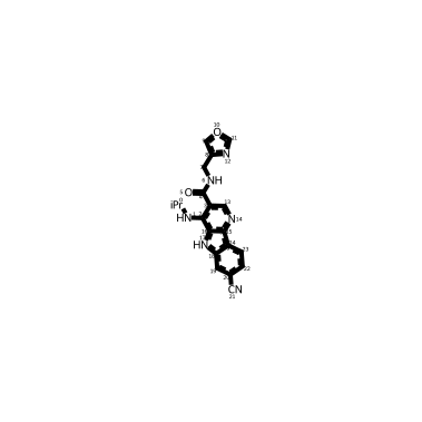 CC(C)Nc1c(C(=O)NCc2cocn2)cnc2c1[nH]c1cc(C#N)ccc12